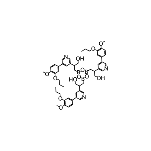 CCCOc1cc(-c2cncc(C(CO)CB3OB(CC(CO)c4cncc(-c5ccc(OC)c(OCCC)c5)c4)OB(CC(CO)c4cncc(-c5ccc(OC)c(OCCC)c5)c4)O3)c2)ccc1OC